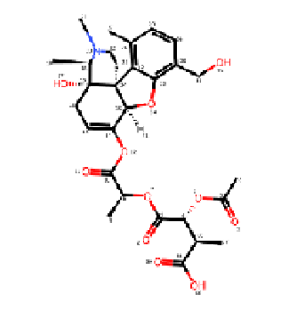 CC(=O)O[C@@H](C(=O)O[C@@H](C)C(=O)OC1=CC[C@@]2(O)[C@@H](C)N(C)CC[C@@]23c2c(C)ccc(CO)c2O[C@@H]13)[C@@H](C)C(=O)O